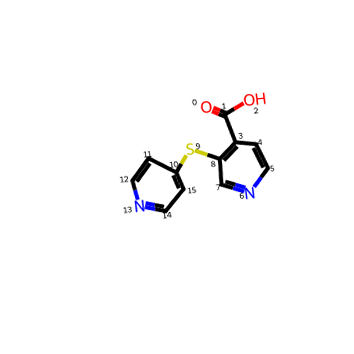 O=C(O)c1ccncc1Sc1ccncc1